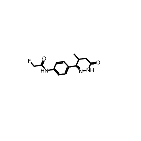 CC1CC(=O)NN=C1c1ccc(NC(=O)CF)cc1